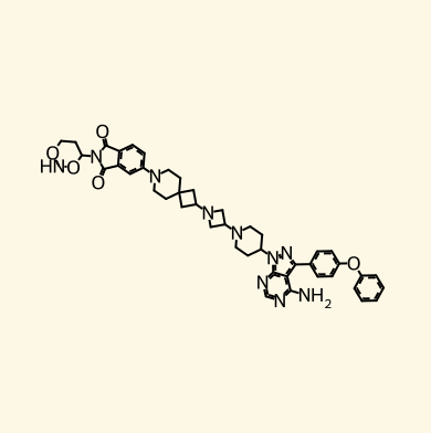 Nc1ncnc2c1c(-c1ccc(Oc3ccccc3)cc1)nn2C1CCN(C2CN(C3CC4(CCN(c5ccc6c(c5)C(=O)N(C5CCONO5)C6=O)CC4)C3)C2)CC1